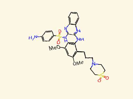 COc1cc(Nc2nc3ccccc3nc2NS(=O)(=O)c2ccc(N)cc2)c(CCCN2CCS(=O)(=O)CC2)c(OC)c1